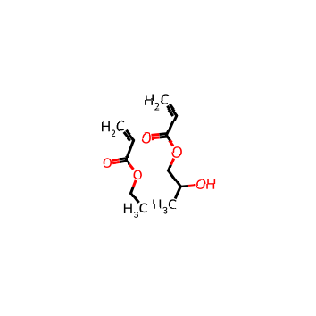 C=CC(=O)OCC.C=CC(=O)OCC(C)O